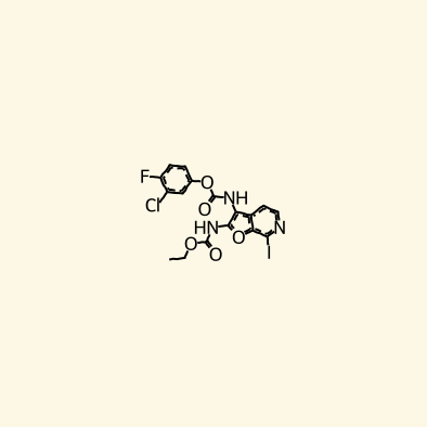 CCOC(=O)Nc1oc2c(I)nccc2c1NC(=O)Oc1ccc(F)c(Cl)c1